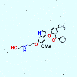 COc1cc2c(Oc3ccc(C)cc3C(=O)c3ccccc3)ccnc2cc1OCCCNCCO